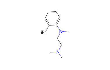 CC(C)c1ccccc1N(C)CCN(C)C